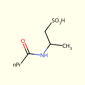 CCCC(=O)NC(C)CS(=O)(=O)O